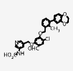 Cc1c(COc2cc(OCc3cncc(NC(=O)O)c3)c(C=O)cc2Cl)cccc1-c1ccc2c(c1)OCCO2